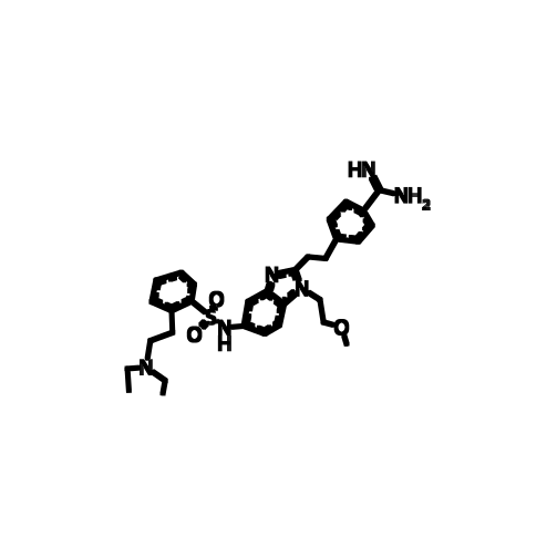 CCN(CC)CCc1ccccc1S(=O)(=O)Nc1ccc2c(c1)nc(CCc1ccc(C(=N)N)cc1)n2CCOC